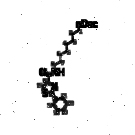 CCCCCCCCCCCCCCCCCCNC(=O)c1csc(-c2ccccc2)n1